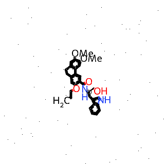 C=CCOc1cc2c(cc1C(=O)N[C@@H](CO)Cc1c[nH]c3ccccc13)-c1cc(OC)c(OC)cc1CC2